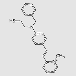 C[n+]1ccccc1/C=C/c1ccc(N(CCS)Cc2ccccc2)cc1